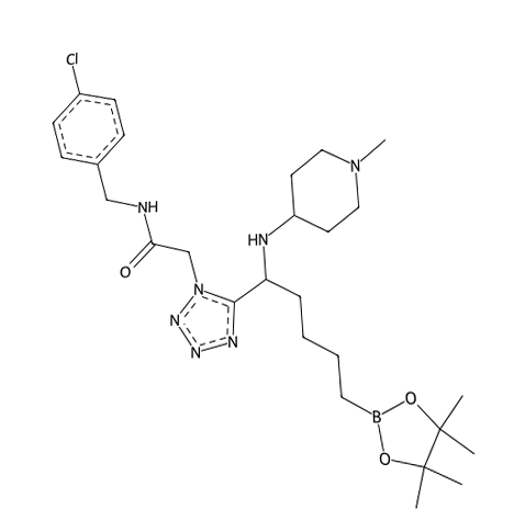 CN1CCC(NC(CCCCB2OC(C)(C)C(C)(C)O2)c2nnnn2CC(=O)NCc2ccc(Cl)cc2)CC1